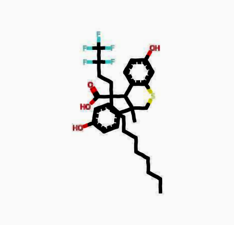 CCCCCCCCCC(CCC(F)(F)C(F)(F)F)(C(=O)O)C1c2ccc(O)cc2SCC1(C)c1ccc(O)cc1